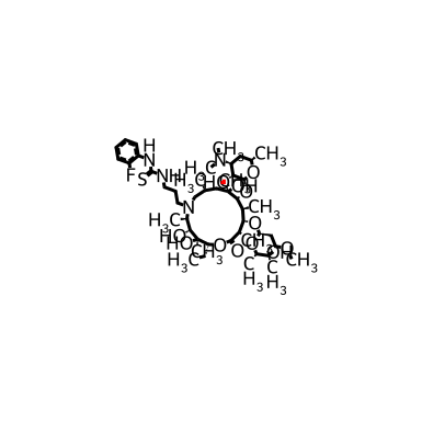 CC[C@H]1OC(=O)[C@H](C)[C@@H](O[C@@H](CCOC)O[C@@H](C)[C@@H](C)O)[C@H](C)[C@@H](O[C@@H]2O[C@H](C)C[C@H](N(C)C)[C@H]2O)[C@](C)(O)C[C@@H](C)CN(CCCNC(=S)Nc2ccccc2F)[C@H](C)[C@@H](O)[C@]1(C)O